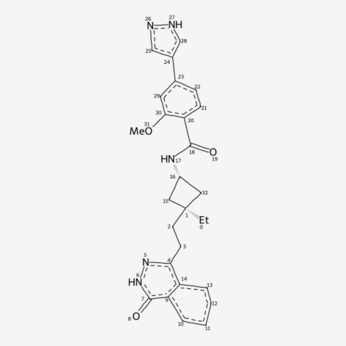 CC[C@]1(CCc2n[nH]c(=O)c3ccccc23)C[C@H](NC(=O)c2ccc(-c3cn[nH]c3)cc2OC)C1